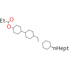 CCCCCCC[C@H]1CC[C@H](CCC2CCC(C3CCC(OC(=O)CC)CC3)CC2)CC1